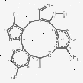 CCN/C1=C(\C=N)Cc2c(F)cnn2-c2ccc(F)cc2C(C)Oc2cc1cnc2N